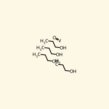 CCCO.CCCO.CCCO.CCCO.[O]=[V]